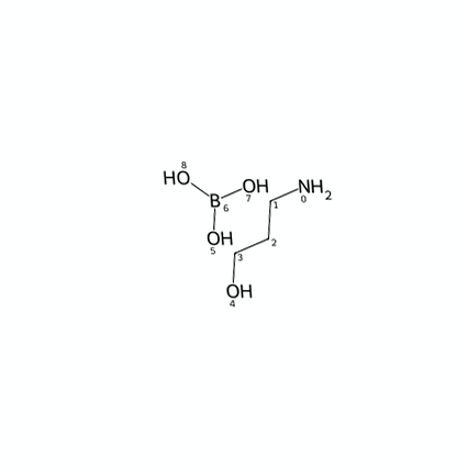 NCCCO.OB(O)O